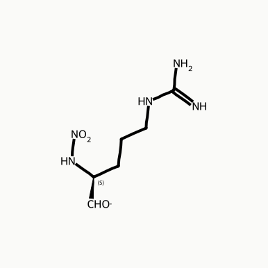 N=C(N)NCCC[C@@H]([C]=O)N[N+](=O)[O-]